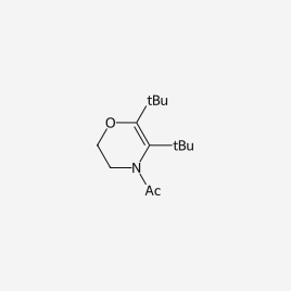 CC(=O)N1CCOC(C(C)(C)C)=C1C(C)(C)C